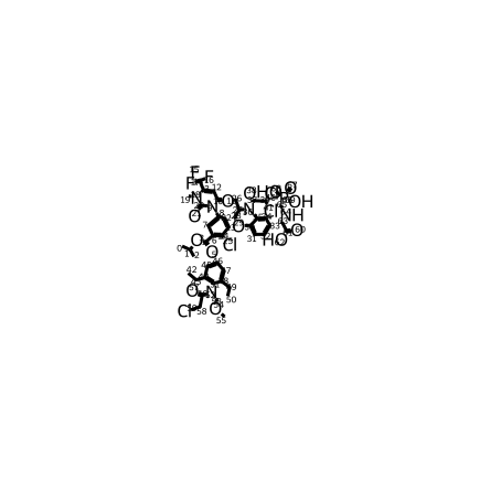 CC(C)OC(=O)c1cc(-n2c(=O)cc(C(F)(F)F)n(C)c2=O)ccc1Cl.CC1COc2ccccc2N1C(=O)C(Cl)Cl.CCc1cccc(CC)c1N(COC)C(=O)CCl.O=C(O)CNCP(=O)(O)O